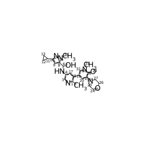 Cc1ncc(NC(O)c2cc(C3CC3)nn2C)cc1-c1cc(N2CCOCC2)c(=O)n(C)c1